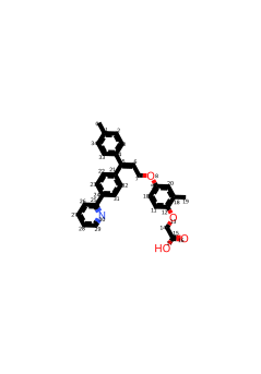 Cc1ccc(/C(=C/COc2ccc(OCC(=O)O)c(C)c2)c2ccc(-c3ccccn3)cc2)cc1